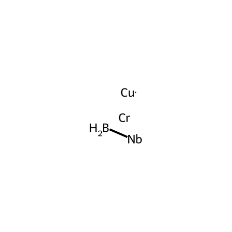 [BH2][Nb].[Cr].[Cu]